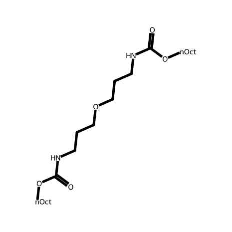 CCCCCCCCOC(=O)NCCCOCCCNC(=O)OCCCCCCCC